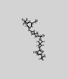 N#Cc1cc(CC2CC3(C2)CN(C(=O)N2CC4(CC(c5nc(C6(F)CC6)n[nH]5)C4)C2)C3)cc(C(F)(F)F)c1